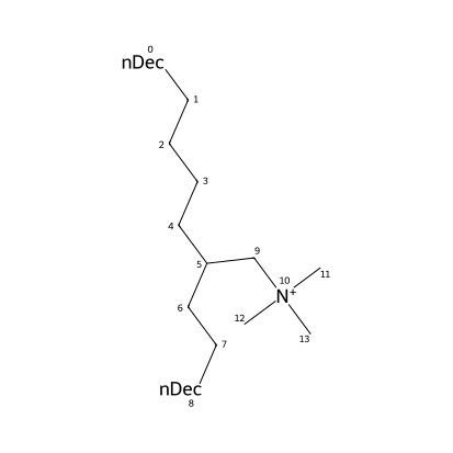 CCCCCCCCCCCCCCC(CCCCCCCCCCCC)C[N+](C)(C)C